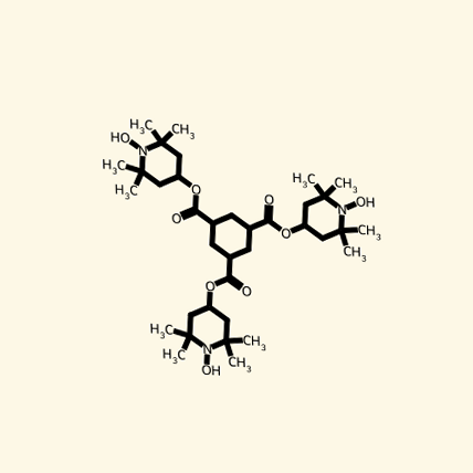 CC1(C)CC(OC(=O)C2CC(C(=O)OC3CC(C)(C)N(O)C(C)(C)C3)CC(C(=O)OC3CC(C)(C)N(O)C(C)(C)C3)C2)CC(C)(C)N1O